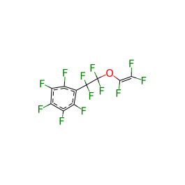 FC(F)=C(F)OC(F)(F)C(F)(F)c1c(F)c(F)c(F)c(F)c1F